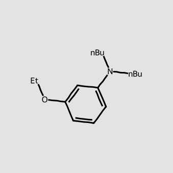 CCCCN(CCCC)c1cccc(OCC)c1